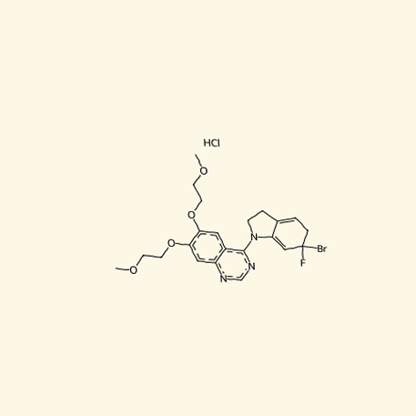 COCCOc1cc2ncnc(N3CCC4=CCC(F)(Br)C=C43)c2cc1OCCOC.Cl